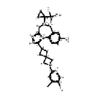 Cc1cc(N2CC3(CC(c4nnc5n4-c4ccc(Cl)cc4CN(C4(C(F)(F)F)CC4)C5)C3)C2)ncc1F